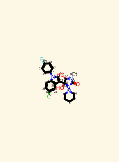 CCN1C(=O)N(N2CCCCC2)C(O)(c2cn(-c3ccc(F)cc3)c3ccc(Cl)cc23)C1O